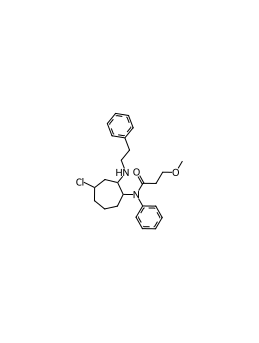 COCCC(=O)N(c1ccccc1)C1CCCC(Cl)CC1NCCc1ccccc1